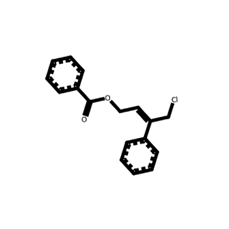 O=C(OC/C=C(/CCl)c1ccccc1)c1ccccc1